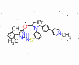 Cc1cccc(C)c1-c1cc2nc(n1)NSc1cccc(c1)N(Cc1ccc(C3=CCN(C)CC3)cc1)C(CC(C)C)CO2